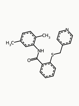 Cc1ccc(C)c(NC(=O)c2ccccc2SCc2ccncc2)c1